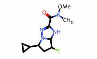 CON(C)C(=O)C1=NN2C(C3CC3)CC(F)C2N1